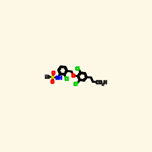 CCS(=O)(=O)Nc1cccc(COc2c(Cl)cc(CCC(=O)O)cc2Cl)c1Cl